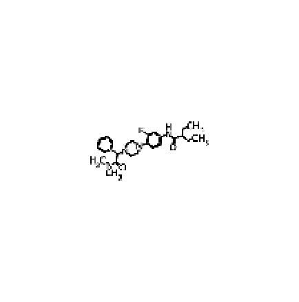 CCC(CC)C(=O)Nc1ccc(N2CCN(C(C(=O)N(C)C)c3ccccc3)CC2)c(F)c1